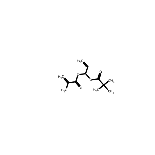 C=CC(OC(=O)C(=C)C)OC(=O)C(C)(C)C